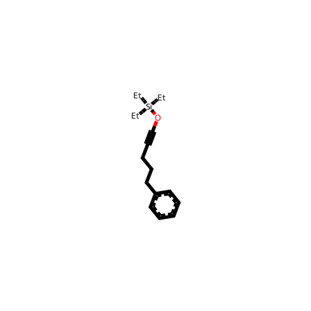 CC[Si](CC)(CC)OC#CCCCc1ccccc1